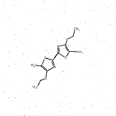 CCOc1nc(-c2nc(OCC)c(C)s2)sc1C